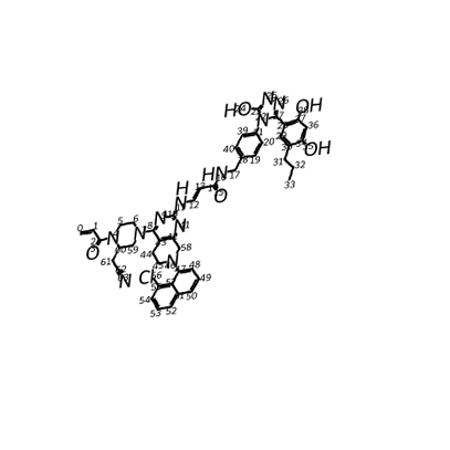 C=CC(=O)N1CCN(c2nc(NC=CC(=O)NCc3ccc(-n4c(O)nnc4-c4cc(CCC)c(O)cc4O)cc3)nc3c2CCN(c2cccc4cccc(Cl)c24)C3)C[C@H]1CC#N